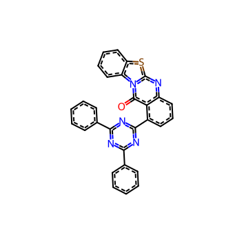 O=c1c2c(-c3nc(-c4ccccc4)nc(-c4ccccc4)n3)cccc2nc2sc3ccccc3n12